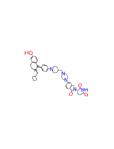 O=C1CCC(N2Cc3cc(N4CCN(CC5CCN(c6ccc([C@@H]7c8ccc(O)cc8CC[C@@H]7CC7CCC7)cc6)CC5)CC4)ccc3C2=O)C(=O)N1